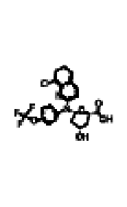 O=C(O)[C@@H]1C[C@H](O)C[C@H](N(c2ccc(OC(F)(F)F)cc2)c2ccc3c(n2)=C(Cl)CCC=3)O1